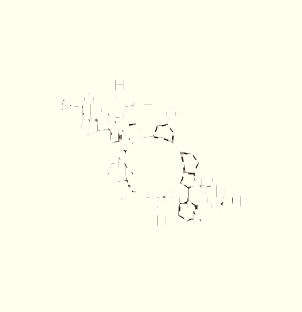 CCn1c(-c2cccnc2[C@H](C)OC)c2c3cc(ccc31)-c1cc(O)cc(c1)C[C@H](NC(=O)C(C(C)C)N(C)C(=O)[C@@]1(F)CCN(C(=O)C3CC3)C1)C(=O)N1CCC[C@H](N1)C(=O)OCC(C)(C)C2